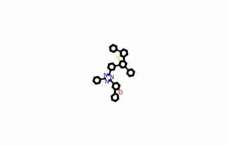 c1ccc(-c2cc(-c3cccc(-c4nc(-c5ccccc5)nc(-c5ccc6oc7ccccc7c6c5)n4)c3)c3sc4c(-c5ccccc5)cccc4c3c2)cc1